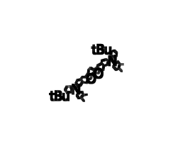 Cc1ccc(N(c2cccc(C(C)(C)C)c2)c2ccc3cc4c(cc3c2)oc2c4ccc3c4cc5ccc(N(c6cccc(C(C)(C)C)c6)c6ccc(C)c(C)c6)cc5cc4oc32)cc1C